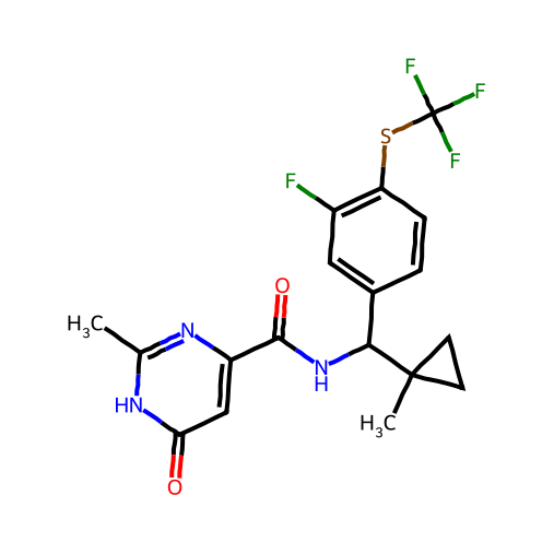 Cc1nc(C(=O)NC(c2ccc(SC(F)(F)F)c(F)c2)C2(C)CC2)cc(=O)[nH]1